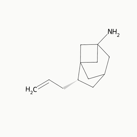 C=CC[C@H]1CC2CC3(N)CC1(C2)C3